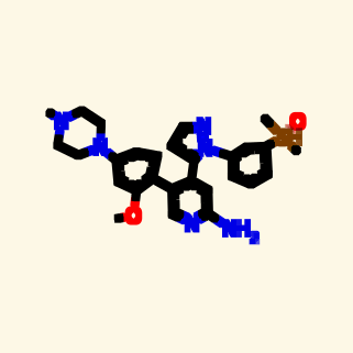 COc1cc(N2CCN(C)CC2)ccc1-c1cnc(N)cc1-c1ccnn1-c1cccc([SH](C)(C)=O)c1